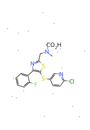 CN(Cc1nc(-c2ccccc2F)c(Sc2ccc(Cl)nc2)s1)C(=O)O